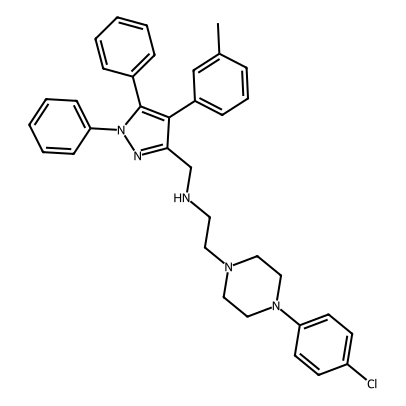 Cc1cccc(-c2c(CNCCN3CCN(c4ccc(Cl)cc4)CC3)nn(-c3ccccc3)c2-c2ccccc2)c1